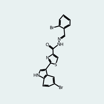 O=C(NN=Cc1ccccc1Br)c1csc(-c2c[nH]c3ccc(Br)cc23)n1